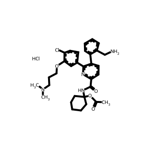 CC(=O)OC1(NC(=O)c2ccc(-c3ccccc3CN)c(-c3ccc(Cl)c(OCCCN(C)C)c3)n2)CCCCC1.Cl